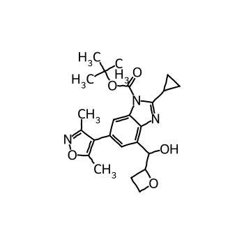 Cc1noc(C)c1-c1cc(C(O)C2CCO2)c2nc(C3CC3)n(C(=O)OC(C)(C)C)c2c1